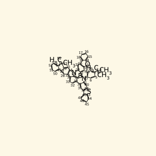 CC(C)(C)c1ccc(N2B3c4cc5oc6ccccc6c5cc4-n4c5cc6c(cc5c5ccc(c3c54)-c3cc4c(cc32)sc2ccccc24)-c2ccccc2C6(C)C)cc1